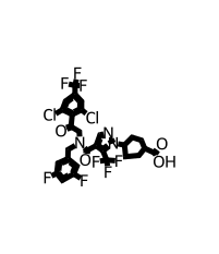 O=C(CN(Cc1cc(F)cc(F)c1)C(=O)c1cnn(C2CCC(C(=O)O)CC2)c1C(F)(F)F)c1c(Cl)cc(C(F)(F)F)cc1Cl